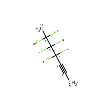 [CH2]C#CC(F)(F)C(F)(F)C(F)(F)C(F)(F)F